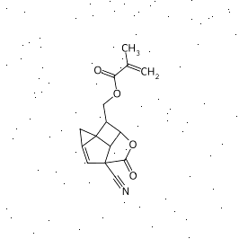 C=C(C)C(=O)OCC1C2OC(=O)C3(C#N)C=C4CC41C23